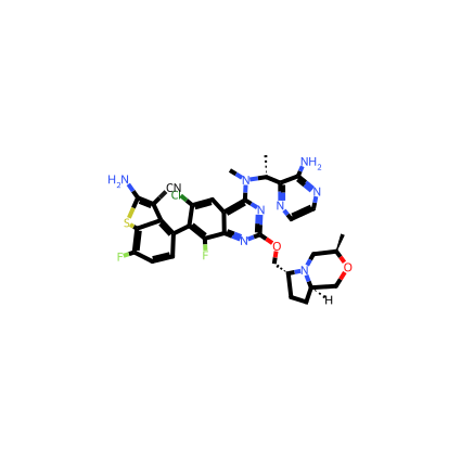 C[C@@H]1CN2[C@@H](COc3nc(N(C)[C@H](C)c4nccnc4N)c4cc(Cl)c(-c5ccc(F)c6sc(N)c(C#N)c56)c(F)c4n3)CC[C@@H]2CO1